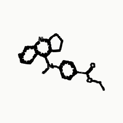 CCOC(=O)c1ccc(N(C)c2c3c(nc4ccccc24)CCC3)cc1